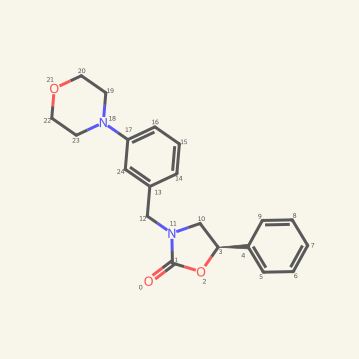 O=C1O[C@H](c2ccccc2)CN1Cc1cccc(N2CCOCC2)c1